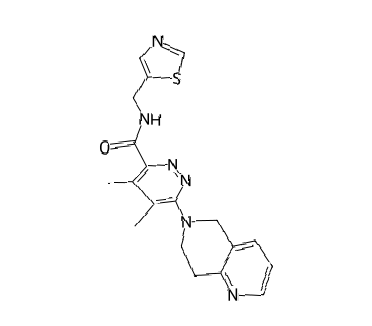 Cc1c(C(=O)NCc2cncs2)nnc(N2CCc3ncccc3C2)c1C